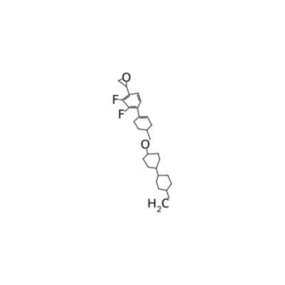 C=CC1CCC(C2CCC(OCC3CC=C(c4ccc(C5CO5)c(F)c4F)CC3)CC2)CC1